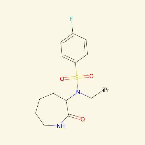 CC(C)CN(C1CCCCNC1=O)S(=O)(=O)c1ccc(F)cc1